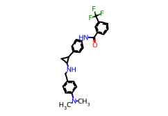 CN(C)c1ccc(CNC2CC2c2ccc(NC(=O)c3cccc(C(F)(F)F)c3)cc2)cc1